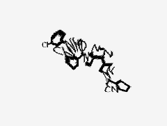 Cc1c(Cl)cccc1Nc1ccccc1C(=O)n1ccc2c(-c3cnn([C@H](CC#N)C4CCCC4)c3)ncnc21